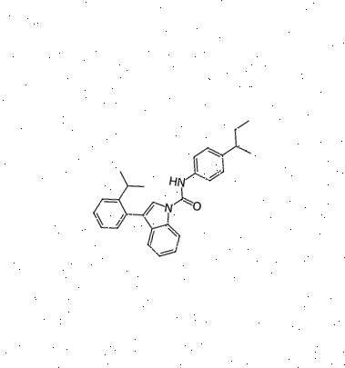 CCC(C)c1ccc(NC(=O)n2cc(-c3ccccc3C(C)C)c3ccccc32)cc1